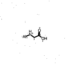 O=C(O)C[NH][Al]